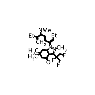 C=C(CC)C(C=C/C(=C\CC)N1C2CC(C)(C)CC(=O)C2C(C(F)(CF)CF)N1C)NC